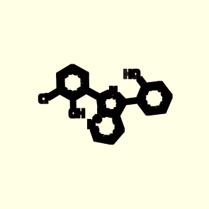 Oc1ccccc1-c1nc(-c2cccc(Cl)c2O)n2ncccc12